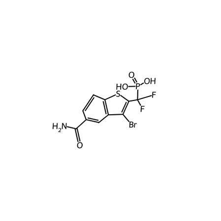 NC(=O)c1ccc2sc(C(F)(F)P(=O)(O)O)c(Br)c2c1